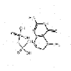 CN1CC=Nc2nc(N)[nH]c(=O)c21.O=P(O)(O)OP(=O)(O)O